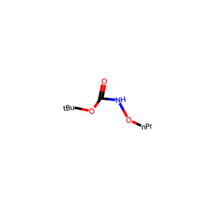 CCCONC(=O)OC(C)(C)C